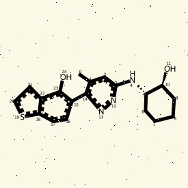 Cc1cc(N[C@H]2CCCC[C@@H]2O)nnc1-c1ccc2sccc2c1O